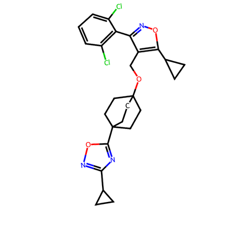 Clc1cccc(Cl)c1-c1noc(C2CC2)c1COC12CCC(c3nc(C4CC4)no3)(CC1)CC2